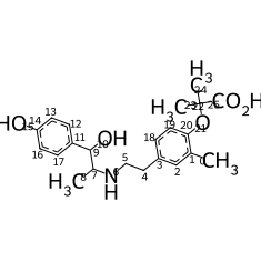 Cc1cc(CCNC(C)C(O)c2ccc(O)cc2)ccc1OC(C)(C)C(=O)O